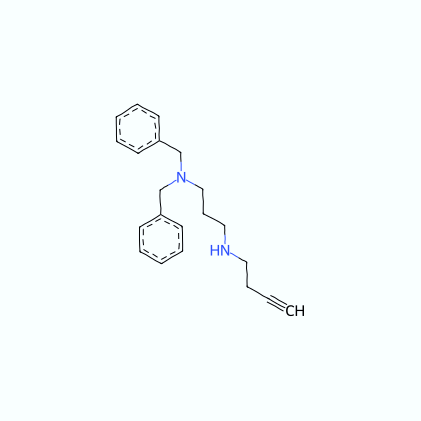 C#CCCNCCCN(Cc1ccccc1)Cc1ccccc1